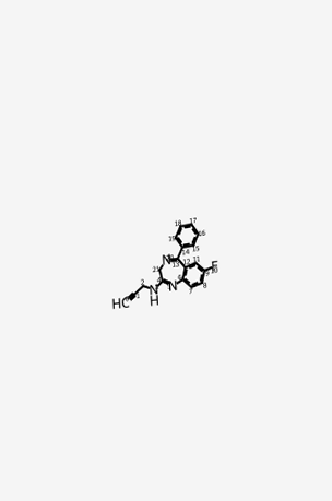 C#CCNC1=Nc2ccc(F)cc2C(c2ccccc2)=NC1